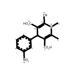 CC1=C(C(=O)O)C(c2cccc([N+](=O)[O-])c2)C(C(=O)O)=C(C#N)N1C